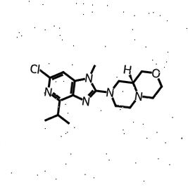 CC(C)c1nc(Cl)cc2c1nc(N1CCN3CCOC[C@H]3C1)n2C